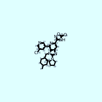 CC1CCC(Cn2c(N3CCC[C@H]3C)nc3cc(-c4noc(=O)[nH]4)nc(-c4cncc(Cl)c4)c32)CC1